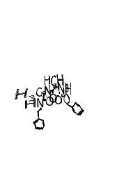 C[C@H](NC(=O)OCc1ccccc1)C(=O)N[C@@H](C)C(=O)NCCc1ccccc1